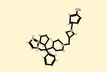 N#Cc1ccc(N2CC(CN3CCC(C(Cn4ccnn4)(c4ccccc4)C4CCCC4)CC3)C2)cc1